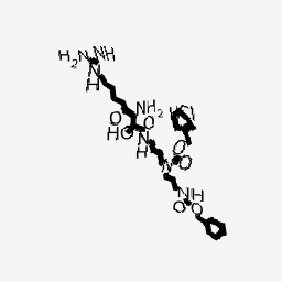 Cl.N=C(N)NCCCCCC(=O)C(N)C(O)C(=O)NCCCCN(CCCNC(=O)OCc1ccccc1)C(=O)OCc1ccccc1